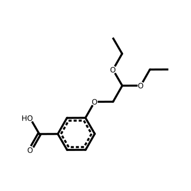 CCOC(COc1cccc(C(=O)O)c1)OCC